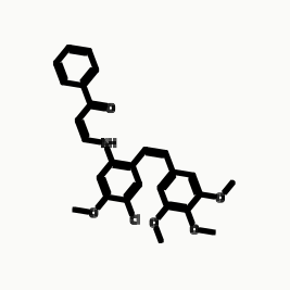 COc1cc(N/C=C\C(=O)c2ccccc2)c(/C=C\c2cc(OC)c(OC)c(OC)c2)cc1Cl